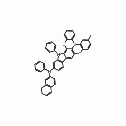 Cc1ccc2c(c1)B1c3ccccc3Oc3c1c(cc1c4ccc(N(c5ccccc5)c5ccc6c(c5)CCC=C6)cc4n(-c4ccccc4)c31)O2